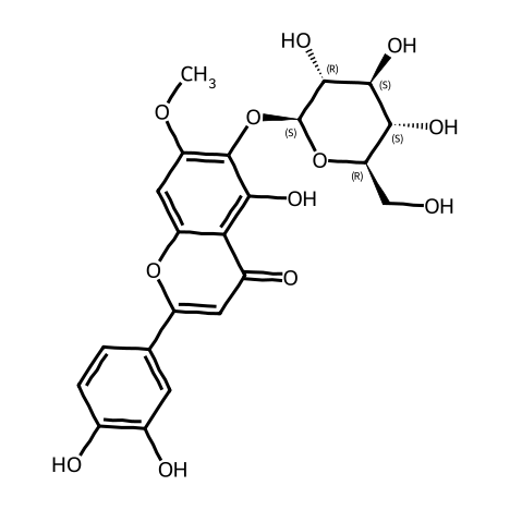 COc1cc2oc(-c3ccc(O)c(O)c3)cc(=O)c2c(O)c1O[C@@H]1O[C@H](CO)[C@@H](O)[C@H](O)[C@H]1O